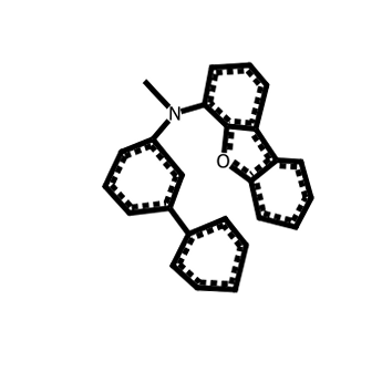 CN(c1cccc(-c2ccccc2)c1)c1cccc2c1oc1ccccc12